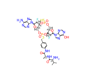 CC(C)[C@H](N)C(=O)N[C@@H](C)C(=O)Nc1ccc(CSP2(=O)OC[C@H]3O[C@@H](n4cnc5c(N)ncnc54)[C@H](F)[C@@H]3OP(=O)(S)OC[C@H]3O[C@@H](n4cnc5c(O)ncnc54)[C@H](F)[C@@H]3O2)cc1